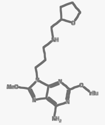 CCCCOc1nc(N)c2nc(OC)n(CCCNCC3CCCO3)c2n1